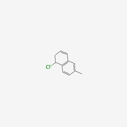 Cc1ccc2c(c1)C=CCC2Cl